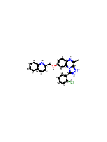 Cc1nc2ccc(OCc3ccc4ccccc4n3)cc2n2c(-c3ccccc3Cl)nnc12